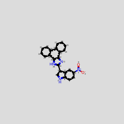 O=[N+]([O-])c1ccc2[nH]cc(-c3nc4c5ccccc5c5ccccc5c4[nH]3)c2c1